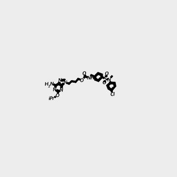 CC(C)Oc1nc(N)c2ncn(CCCCOC(=O)NCc3ccc(S(=O)(=O)N(C)c4ccc(Cl)cc4)cc3)c2n1